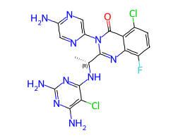 C[C@@H](Nc1nc(N)nc(N)c1Cl)c1nc2c(F)ccc(Cl)c2c(=O)n1-c1cnc(N)cn1